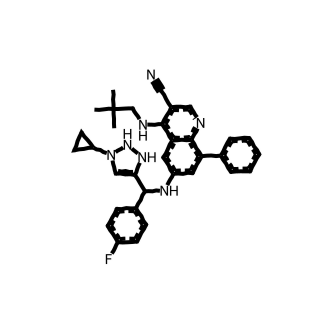 CC(C)(C)CNc1c(C#N)cnc2c(-c3ccccc3)cc(NC(C3=CN(C4CC4)NN3)c3ccc(F)cc3)cc12